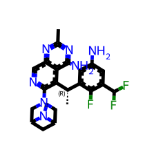 Cc1nc(N)c2c([C@@H](C)c3cc(N)cc(C(F)F)c3F)c(N3CC4CC(C3)N4C)ncc2n1